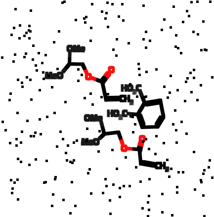 C=CC(=O)OCC(OC)OC.C=CC(=O)OCC(OC)OC.O=C(O)c1ccccc1C(=O)O